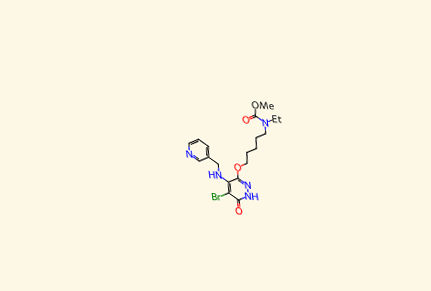 CCN(CCCCCOc1n[nH]c(=O)c(Br)c1NCc1cccnc1)C(=O)OC